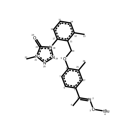 CC(=NOC(C)(C)C)c1ccc(OCc2c(C)cccc2-n2nnn(C)c2=O)c(C)c1